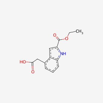 CCOC(=O)c1cc2c(CC(=O)O)cccc2[nH]1